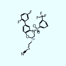 N#CSCC[C@H]1CN(S(=O)(=O)c2cccc(C(F)(F)F)c2)c2cc(-c3cc(F)ccc3F)ccc2O1